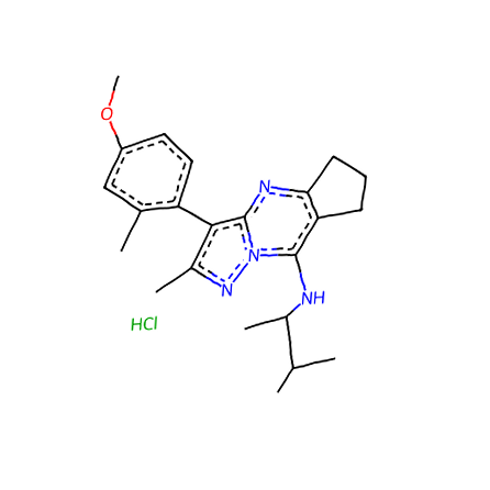 COc1ccc(-c2c(C)nn3c(NC(C)C(C)C)c4c(nc23)CCC4)c(C)c1.Cl